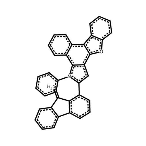 C=C1c2ccccc2-c2cccc(-c3cc4c5oc6ccccc6c5c5ccccc5c4n3-c3ccccc3)c21